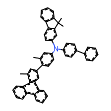 Cc1cc(N(c2ccc(-c3ccccc3)cc2)c2ccc3c(c2)C(C)(C)c2ccccc2-3)ccc1-c1cc(C)c2c3ccccc3c3ccccc3c2c1